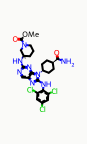 COC(=O)N1CCC[C@@H](Nc2ncc3nc(Nc4c(Cl)cc(Cl)cc4Cl)n([C@H]4CC[C@H](C(N)=O)CC4)c3n2)C1